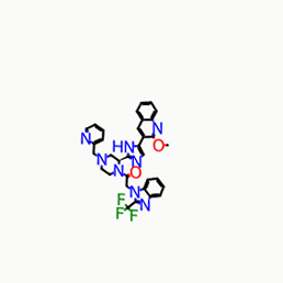 COc1nc2ccccc2cc1-c1cnc([C@@H]2CN(Cc3ccccn3)CCN2C(=O)Cn2c(C(F)(F)F)nc3ccccc32)[nH]1